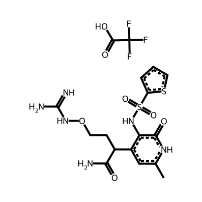 Cc1cc(C(CCONC(=N)N)C(N)=O)c(NS(=O)(=O)c2cccs2)c(=O)[nH]1.O=C(O)C(F)(F)F